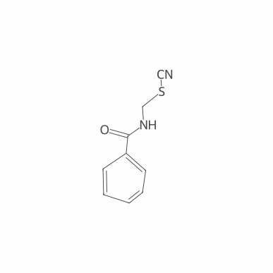 N#CSCNC(=O)c1ccccc1